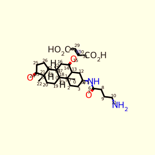 C[C@]12CC[C@H](NC(=O)CCCN)CC1C(=O)C[C@@H]1[C@@H]2CC[C@]2(C)C(=O)CC[C@@H]12.O=C(O)/C=C/C(=O)O